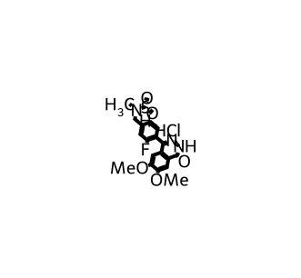 COc1cc2c(-c3ccc(CN(C)[SH](=O)=O)cc3F)n[nH]c(=O)c2cc1OC.Cl